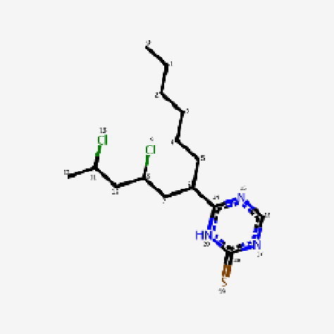 CCCCCCC(CC(Cl)CC(C)Cl)c1ncnc(=S)[nH]1